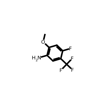 COc1cc(F)c(C(F)(F)F)cc1N